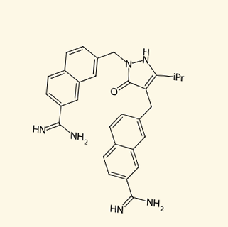 CC(C)c1[nH]n(Cc2ccc3ccc(C(=N)N)cc3c2)c(=O)c1Cc1ccc2ccc(C(=N)N)cc2c1